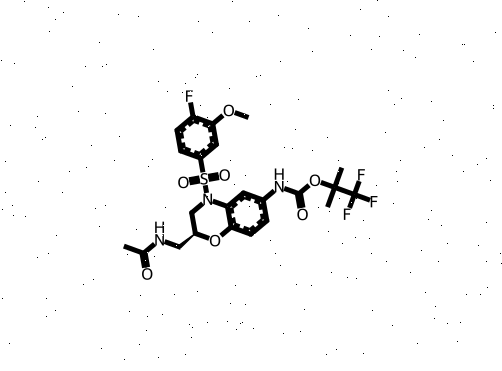 COc1cc(S(=O)(=O)N2C[C@H](CNC(C)=O)Oc3ccc(NC(=O)OC(C)(C)C(F)(F)F)cc32)ccc1F